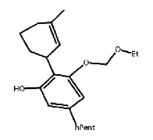 CCCCCc1cc(O)c(C2C=C(C)CCC2)c(OCOCC)c1